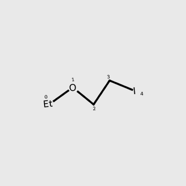 CCOCCI